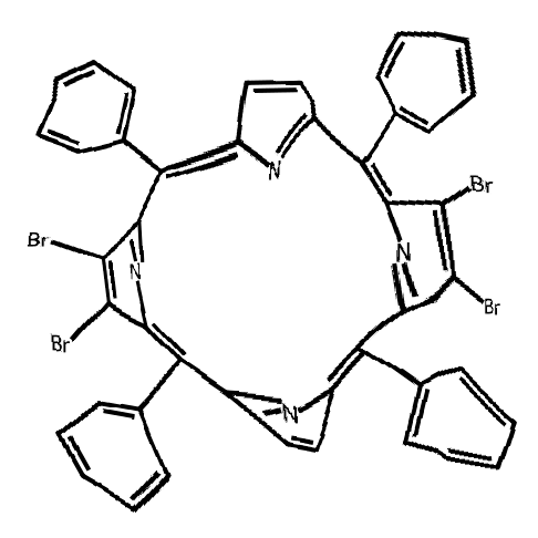 BrC1=C(Br)C2=C(c3ccccc3)C3=NC(=C(c4ccccc4)C4=NC(=C(c5ccccc5)C5=NC(=C(c6ccccc6)C1=N2)C=C5)C(Br)=C4Br)C=C3